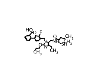 CCCOc1nc(CC)c(CNC(=O)[C@@H](CS)CC(C)C)n1Cc1ccc(-c2ccccc2C(=O)O)cc1F